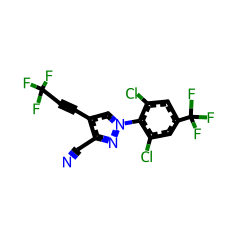 N#Cc1nn(-c2c(Cl)cc(C(F)(F)F)cc2Cl)cc1C#CC(F)(F)F